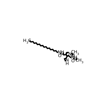 CCCCCCCCCCCCCCCCCCNC(=O)OCC1=CCN(C(C)=O)C(CNC(=O)OC)=C1C1CCN1